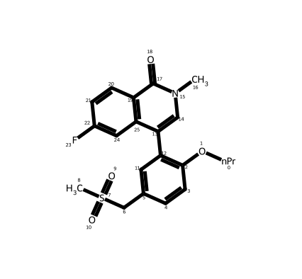 CCCOc1ccc(CS(C)(=O)=O)cc1-c1cn(C)c(=O)c2ccc(F)cc12